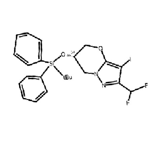 CC(C)(C)[Si](O[C@@H]1COc2c(I)c(C(F)F)nn2C1)(c1ccccc1)c1ccccc1